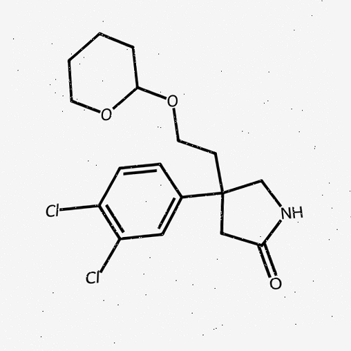 O=C1CC(CCOC2CCCCO2)(c2ccc(Cl)c(Cl)c2)CN1